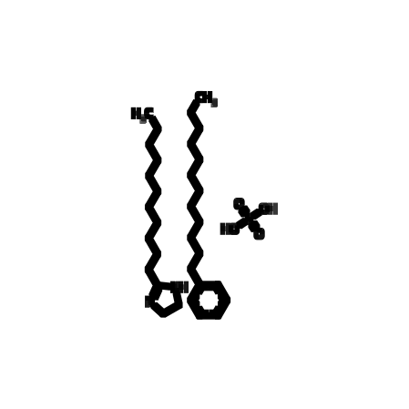 CCCCCCCCCCCC1=NCCN1.CCCCCCCCCCCCc1ccccc1.O=S(=O)(O)O